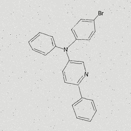 Brc1ccc(N(c2ccccc2)c2ccc(-c3ccccc3)nc2)cc1